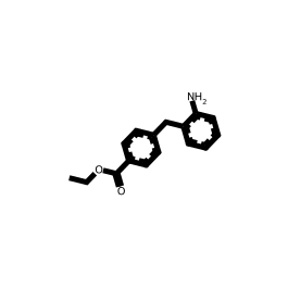 CCOC(=O)c1ccc(Cc2ccccc2N)cc1